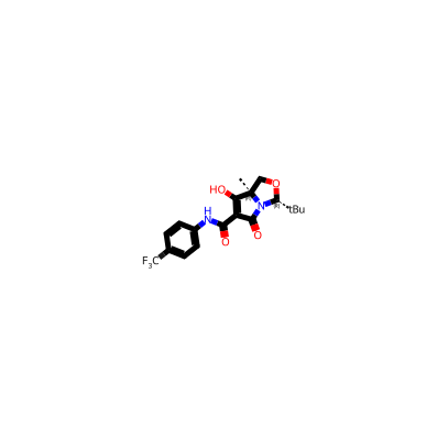 CC(C)(C)[C@H]1OC[C@]2(C)C(O)=C(C(=O)Nc3ccc(C(F)(F)F)cc3)C(=O)N12